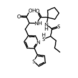 CCCC(S)C(=S)NC1(C(=O)NC(Cc2ccc(-c3cccs3)nc2)C(=O)O)CCCC1